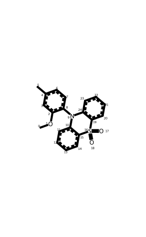 COc1cc(C)ccc1N1c2ccccc2S(=O)(=O)c2ccccc21